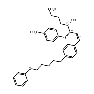 O=C(O)CCC[C@H](O)[C@@H](/C=C\c1ccc(CCCCCOc2ccccc2)cc1)Sc1ccc(C(=O)O)cc1